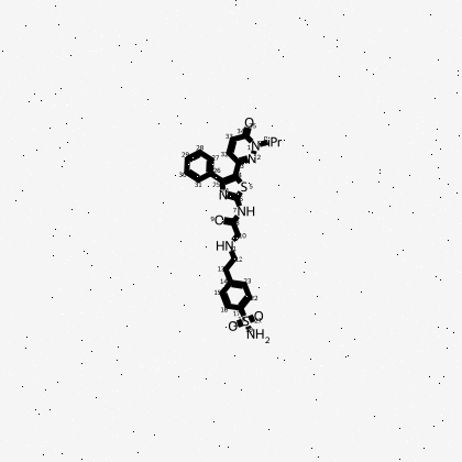 CC(C)n1nc(-c2sc(NC(=O)CNCCc3ccc(S(N)(=O)=O)cc3)nc2-c2ccccc2)ccc1=O